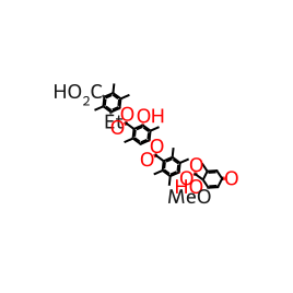 CCc1c(C)c(C(=O)O)c(C)c(C)c1OC(=O)c1c(C)cc(OC(=O)c2c(C)c(C)c(OC(=O)C3(O)C(C)=CC(=O)C=C3OC)c(C)c2C)c(C)c1O